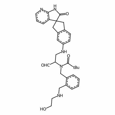 CC(C)(C)C(=O)N(Cc1ccccc1CNCCO)C(C=O)CNc1ccc2c(c1)CC1(C2)C(=O)Nc2ncccc21